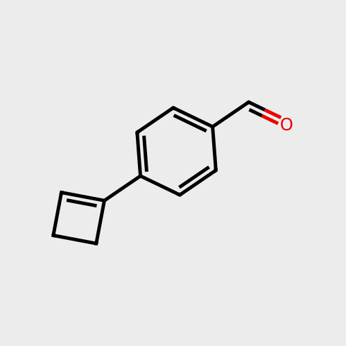 O=Cc1ccc(C2=CCC2)cc1